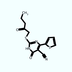 CCCC(=O)CSc1nc(-c2cccs2)c(C#N)c(=O)[nH]1